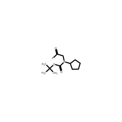 CC(C)(C)OC(=O)N(CC(=O)F)C1CCCC1